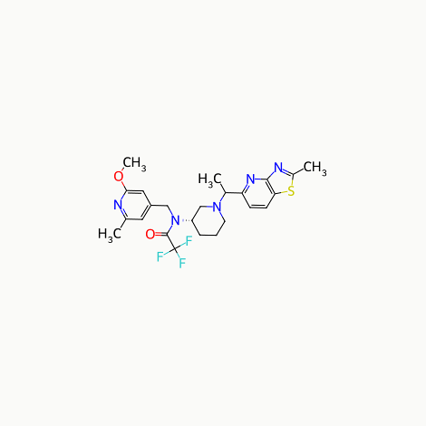 COc1cc(CN(C(=O)C(F)(F)F)[C@H]2CCCN(C(C)c3ccc4sc(C)nc4n3)C2)cc(C)n1